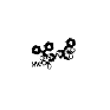 COC(=O)[C@@H]1C[C@H](N2CCC3(CCOC(=O)N3Cc3ccccc3)C2)CN1C(=O)C(c1ccccc1)c1ccccc1